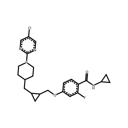 O=C(NC1CC1)c1ccc(OCC2CC2CC2CCN(c3ncc(Cl)cn3)CC2)cc1F